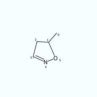 CC1C[C]=NO1